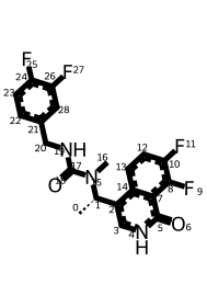 C[C@@H](c1c[nH]c(=O)c2c(F)c(F)ccc12)N(C)C(=O)NCc1ccc(F)c(F)c1